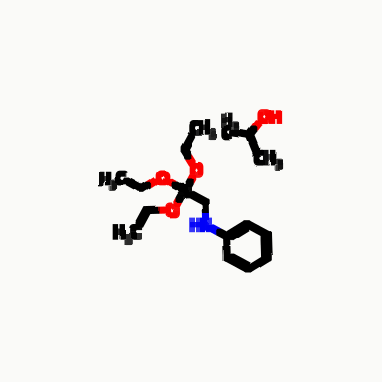 CC(C)O.CCO[Si](CNc1ccccc1)(OCC)OCC